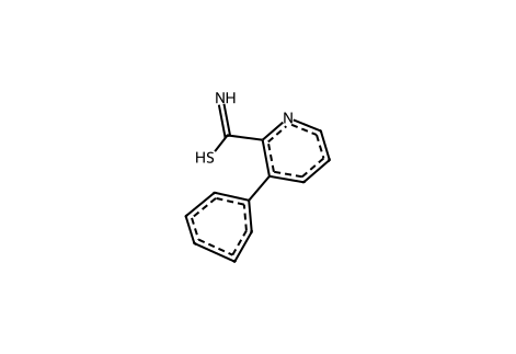 N=C(S)c1ncccc1-c1ccccc1